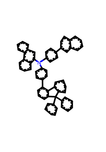 c1ccc(C2(c3ccccc3)c3ccccc3-c3c(-c4ccc(N(c5ccc(-c6ccc7ccccc7c6)cc5)c5cc6ccccc6c6ccccc56)cc4)cccc32)cc1